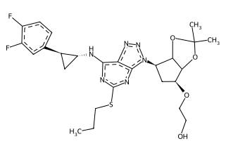 CCCSc1nc(N[C@@H]2C[C@H]2c2ccc(F)c(F)c2)c2nnn([C@@H]3C[C@H](OCCO)C4OC(C)(C)OC43)c2n1